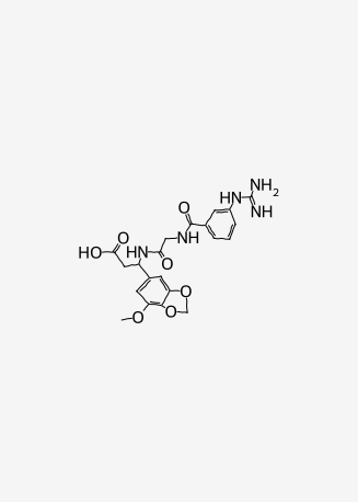 COc1cc(C(CC(=O)O)NC(=O)CNC(=O)c2cccc(NC(=N)N)c2)cc2c1OCO2